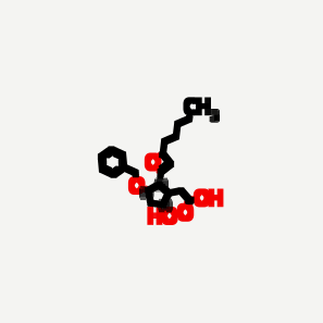 CCCCCC1C=C([C@H]2C(CC(=O)O)[C@H](O)C[C@H]2OCc2ccccc2)O1